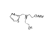 COCCN(CCO)Cc1nccs1